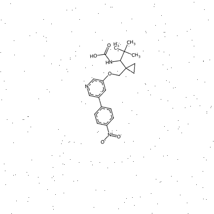 CC(C)(C)C(NC(=O)O)C1(COc2cncc(-c3ccc([N+](=O)[O-])cc3)c2)CC1